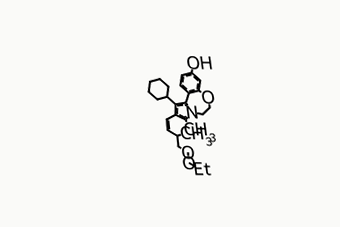 CCOOCC(C)/C=C\c1c(C2CCCCC2)c2n(c1C)CCOc1cc(O)ccc1-2